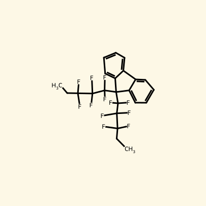 CCC(F)(F)C(F)(F)C(F)(F)C1(C(F)(F)C(F)(F)C(F)(F)CC)c2ccccc2-c2ccccc21